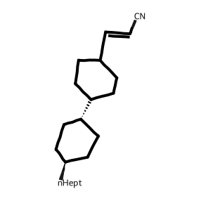 CCCCCCC[C@H]1CC[C@H](C2CCC(C=CC#N)CC2)CC1